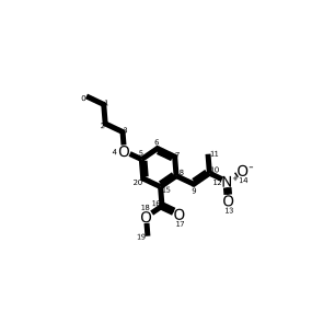 CCCCOc1ccc(/C=C(\C)[N+](=O)[O-])c(C(=O)OC)c1